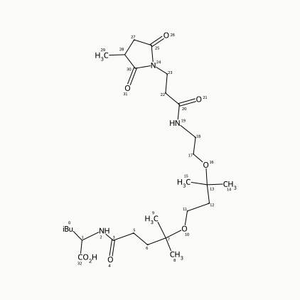 CCC(C)C(NC(=O)CCC(C)(C)OCCC(C)(C)OCCNC(=O)CCN1C(=O)CC(C)C1=O)C(=O)O